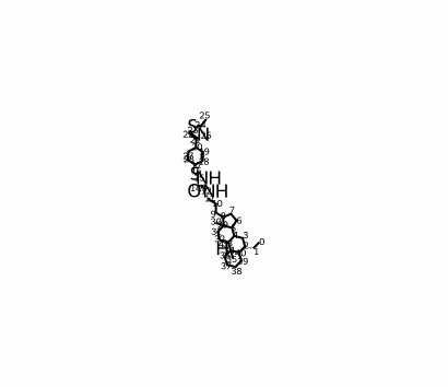 CC[C@H]1CC2C3CCC(CCCNC(=O)NSC4C=CC(c5csc(C)n5)CC4)C3(C)CC[C@@H]2C2(C)CCCCC12